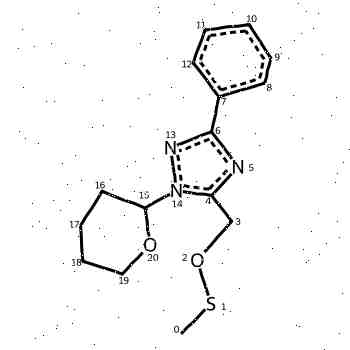 CSOCc1nc(-c2ccccc2)nn1C1CCCCO1